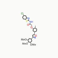 COc1cc(-c2cc(-c3ccc(C)c(OCC(=O)Nc4nc5cc(Cl)ccc5s4)c3)on2)cc(OC)c1OC